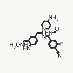 CN/C=C1C=C(/C=C(\N=C(/NC=O)c2ccc(C#N)c(F)c2)N2CCC(N)CC2)C=CC/1=N